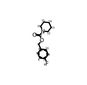 O=C(OCc1ccc(F)cc1)N1CCCCC1